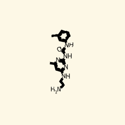 Cc1cccc(NC(=O)Nc2nc(C)cc(NCCN)n2)c1